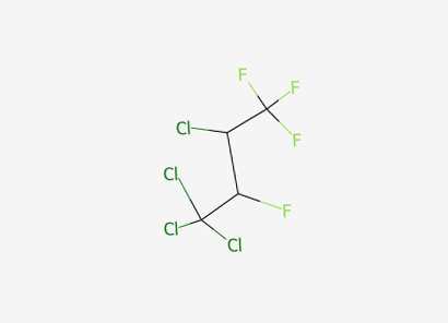 FC(C(Cl)C(F)(F)F)C(Cl)(Cl)Cl